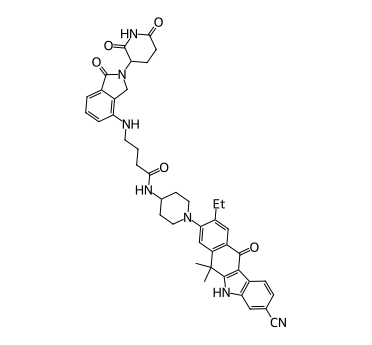 CCc1cc2c(cc1N1CCC(NC(=O)CCCNc3cccc4c3CN(C3CCC(=O)NC3=O)C4=O)CC1)C(C)(C)c1[nH]c3cc(C#N)ccc3c1C2=O